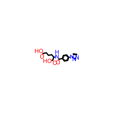 O=C(O)CCCC(NC(=O)c1ccc(-n2ccnn2)cc1)C(=O)O